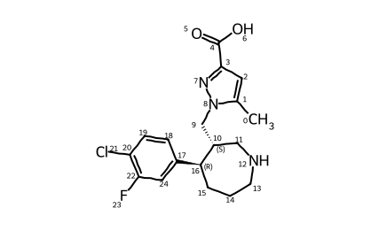 Cc1cc(C(=O)O)nn1C[C@@H]1CNCCC[C@H]1c1ccc(Cl)c(F)c1